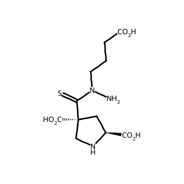 NN(CCCC(=O)O)C(=S)[C@]1(C(=O)O)CN[C@H](C(=O)O)C1